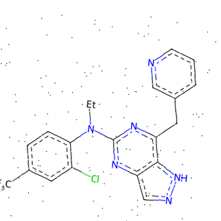 CCN(c1nc(Cc2cccnc2)c2[nH]ncc2n1)c1ccc(C(F)(F)F)cc1Cl